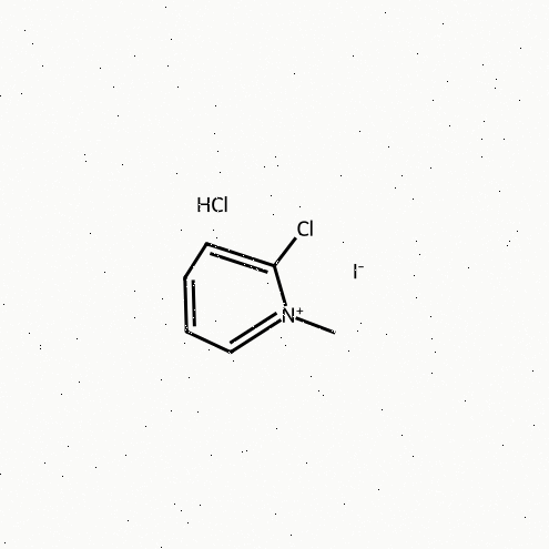 C[n+]1ccccc1Cl.Cl.[I-]